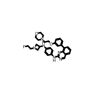 FCCN1CC(Nc2ccc(Nc3ncc4cccc(-c5cccc(OCCN6CCOCC6)c5)c4n3)cc2)C1